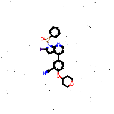 N#Cc1cc(-c2ccnc3c2cc(I)n3[S+]([O-])c2ccccc2)ccc1OC1CCOCC1